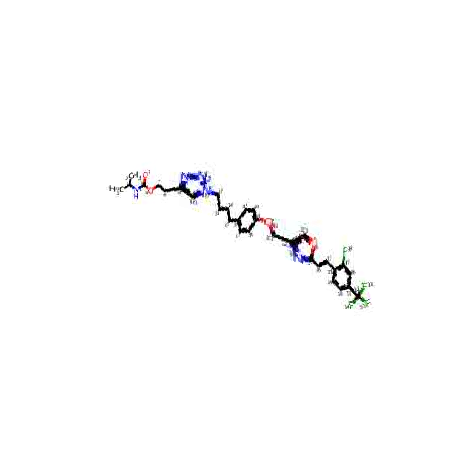 CC(C)NC(=O)OCCc1cn(CCCCc2ccc(OCc3coc(/C=C/c4ccc(C(F)(F)F)cc4F)n3)cc2)nn1